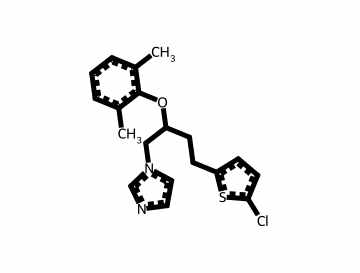 Cc1cccc(C)c1OC(CCc1ccc(Cl)s1)Cn1ccnc1